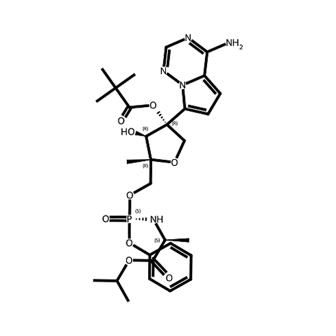 CC(C)OC(=O)[C@H](C)N[P@](=O)(OC[C@@]1(C)OC[C@](OC(=O)C(C)(C)C)(c2ccc3c(N)ncnn23)[C@@H]1O)Oc1ccccc1